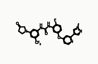 Cn1cc(-c2cc(Oc3ccc(F)c(NC(=O)Nc4cc(N5CCC(=O)C5)cc(C(F)(F)F)c4)c3)ccn2)cn1